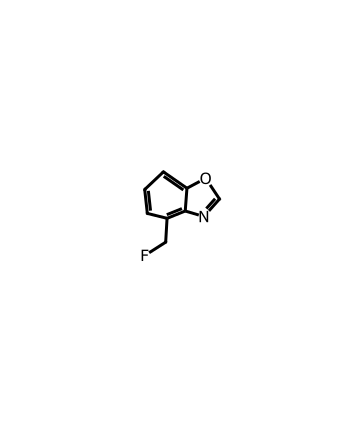 FCc1cccc2ocnc12